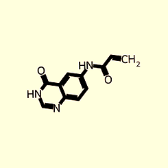 C=CC(=O)Nc1ccc2nc[nH]c(=O)c2c1